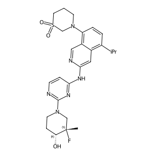 CC(C)c1ccc(N2CCCS(=O)(=O)C2)c2cnc(Nc3ccnc(N4CC[C@@H](O)[C@@](C)(F)C4)n3)cc12